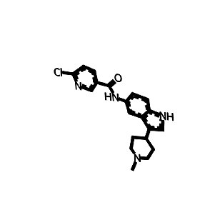 CN1CCC(c2c[nH]c3ccc(NC(=O)c4ccc(Cl)nc4)cc23)CC1